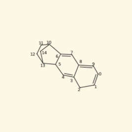 C1=CCC2=CC3C(=CC2=C1)C1CCC3C1